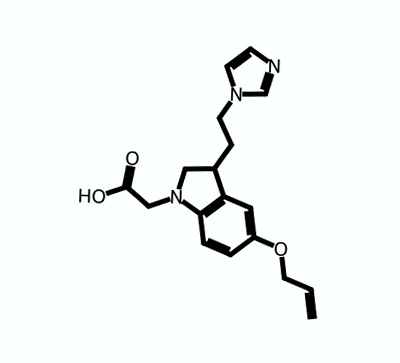 C=CCOc1ccc2c(c1)C(CCn1ccnc1)CN2CC(=O)O